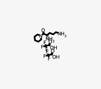 NCCC[C@H](N)C(=O)N1CCCCC1.O=C(O)C(F)(F)F.O=C(O)C(F)(F)F